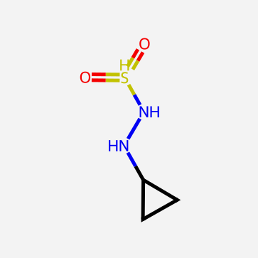 O=[SH](=O)NNC1CC1